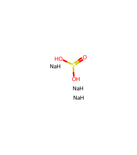 O=S(O)O.[NaH].[NaH].[NaH]